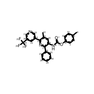 Cc1ccc(OC(=O)Nc2cc(C)c(-c3cncc(C(F)(F)F)c3)nc2-c2ccccc2)cc1